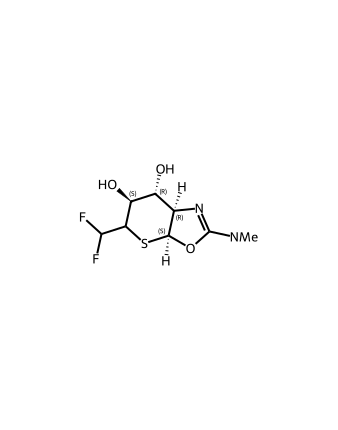 CNC1=N[C@@H]2[C@@H](O)[C@H](O)C(C(F)F)S[C@@H]2O1